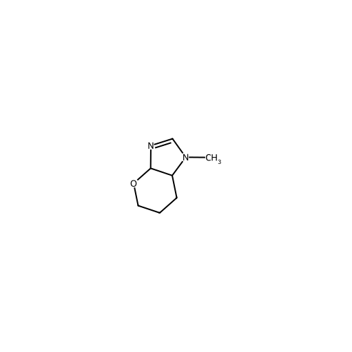 CN1C=NC2OCCCC21